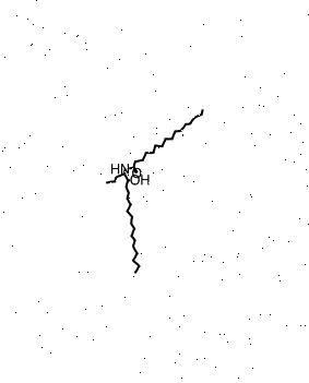 CCCCCCCCCCCCCCCC(=O)NC(CCC)C(O)CCCCCCCCCCCCCCC